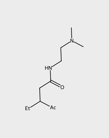 CCC(CC(=O)NCCN(C)C)C(C)=O